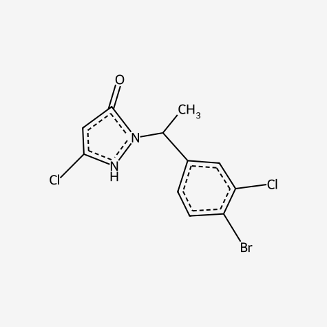 CC(c1ccc(Br)c(Cl)c1)n1[nH]c(Cl)cc1=O